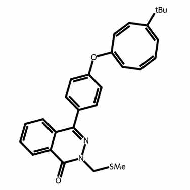 CSCn1nc(-c2ccc(OC3=C/C=C\C=C(C(C)(C)C)/C=C\3)cc2)c2ccccc2c1=O